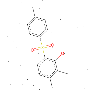 Cc1ccc(S(=O)(=O)c2ccc(C)c(C)c2[O])cc1